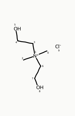 C[N+](C)(CCO)CCO.[Cl-]